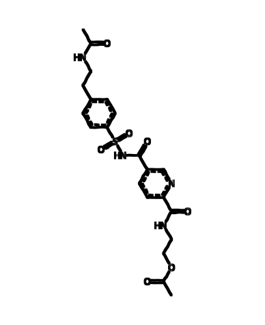 CC(=O)NCCc1ccc(S(=O)(=O)NC(=O)c2ccc(C(=O)NCCOC(C)=O)nc2)cc1